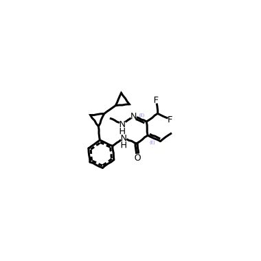 C/C=C(C(=O)Nc1ccccc1C1CC1C1CC1)\C(=N/NC)C(F)F